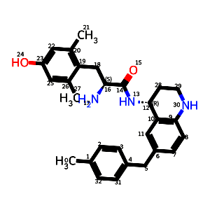 Cc1ccc(Cc2ccc3c(c2)[C@H](NC(=O)[C@@H](N)Cc2c(C)cc(O)cc2C)CCN3)cc1